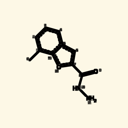 Cc1cccc2cc(C(=O)NN)oc12